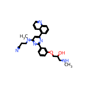 CNCC(O)COc1cccc(-c2nc(-c3cccc4ncccc34)cc(N(C)CCC#N)n2)c1